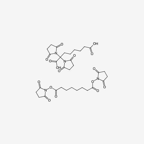 O=C(CCCCCCC(=O)ON1C(=O)CCC1=O)ON1C(=O)CCC1=O.O=C(O)CCCCCC(C(=O)O)(N1C(=O)CCC1=O)N1C(=O)CCC1=O